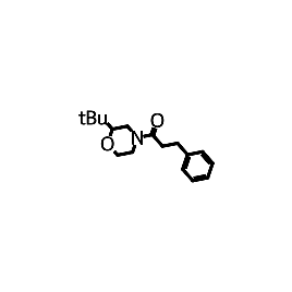 CC(C)(C)C1CN(C(=O)CCc2ccccc2)CCO1